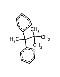 CC(C)(C)C(C)(c1ccccc1)c1ccccc1